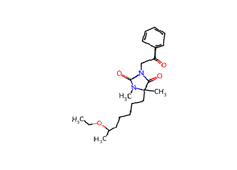 CCOC(C)CCCCCC1(C)C(=O)N(CC(=O)c2ccccc2)C(=O)N1C